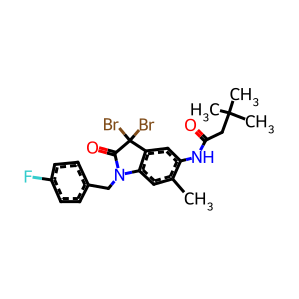 Cc1cc2c(cc1NC(=O)CC(C)(C)C)C(Br)(Br)C(=O)N2Cc1ccc(F)cc1